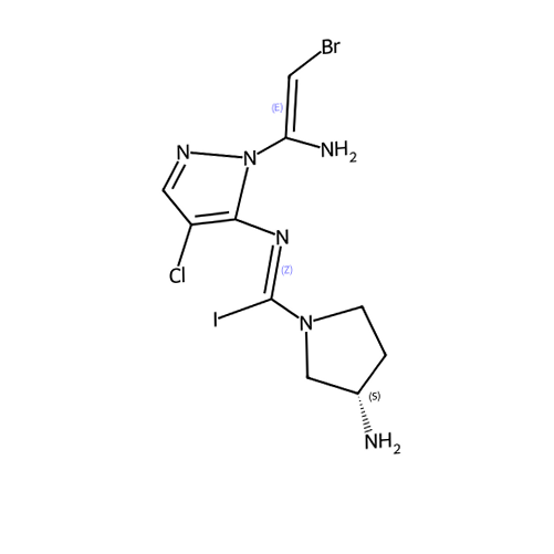 N/C(=C\Br)n1ncc(Cl)c1/N=C(\I)N1CC[C@H](N)C1